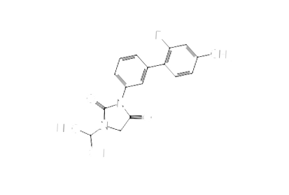 Cc1ccc(-c2cccc(N3C(=O)CN(C(C)C)C3=O)c2)c(F)c1